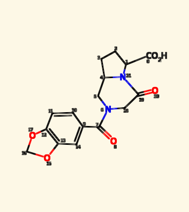 O=C(O)C1CCC2CN(C(=O)c3ccc4c(c3)OCO4)CC(=O)N21